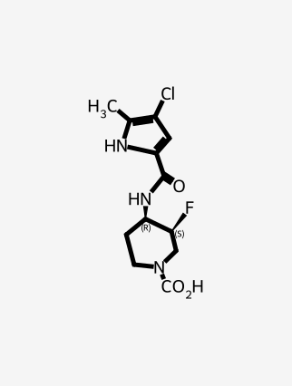 Cc1[nH]c(C(=O)N[C@@H]2CCN(C(=O)O)C[C@@H]2F)cc1Cl